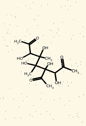 CC(=O)C(O)C(C)(O)C(C)(O)C(O)(C(C)=O)C(O)C(C)=O